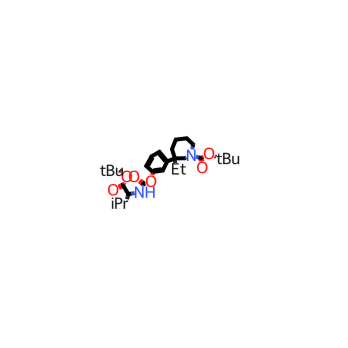 CCC1(c2cccc(OC(=O)NC(C(=O)OC(C)(C)C)C(C)C)c2)CCCCN(C(=O)OC(C)(C)C)C1